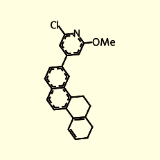 COc1cc(-c2ccc3ccc4c(c3c2)CCC2=C4C=CCC2)cc(Cl)n1